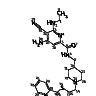 CCNc1nc(C(=O)NCC2CCN(Cc3cnc(-c4ccccn4)s3)CC2)cc(N)c1C#N